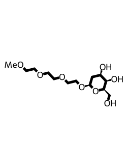 COCCOCCOCCO[C@H]1C[C@@H](O)[C@@H](O)[C@@H](CO)O1